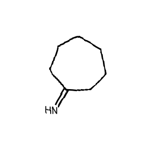 N=C1CCCCCC1